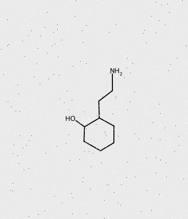 NCCC1CCCCC1O